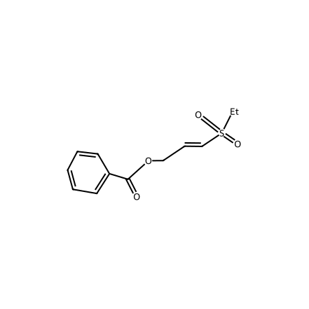 CCS(=O)(=O)C=CCOC(=O)c1ccccc1